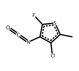 Cc1sc(F)c(N=C=O)c1Cl